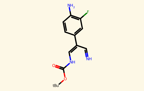 CC(C)(C)OC(=O)N/C=C(\C=N)c1ccc(N)c(F)c1